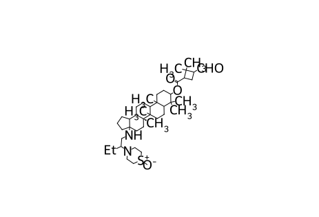 CCC(CNC12CCCC1C1CCC3C4(C)CCC(OC(=O)C5CC(C=O)C5(C)C)C(C)(C)C4CCC3(C)[C@]1(C)CC2)N1CC[S+]([O-])CC1